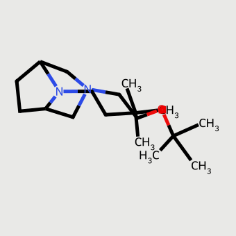 CC(C)(C)CCN1C2CCC1CN(CCOC(C)(C)C)C2